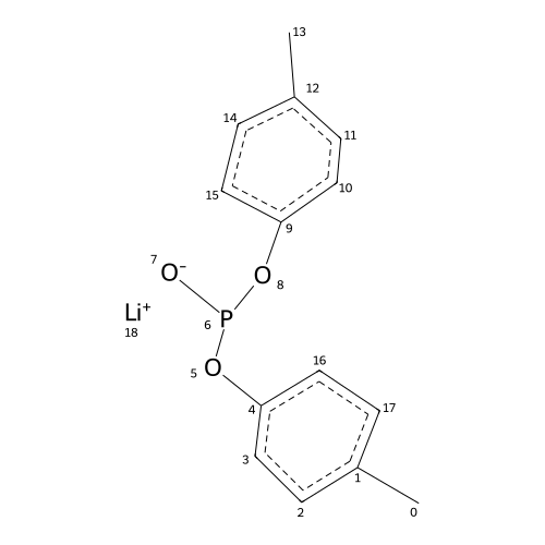 Cc1ccc(OP([O-])Oc2ccc(C)cc2)cc1.[Li+]